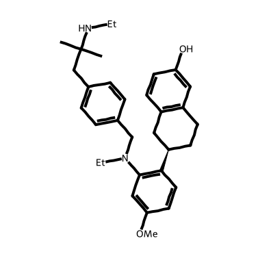 CCNC(C)(C)Cc1ccc(CN(CC)c2cc(OC)ccc2[C@@H]2CCc3cc(O)ccc3C2)cc1